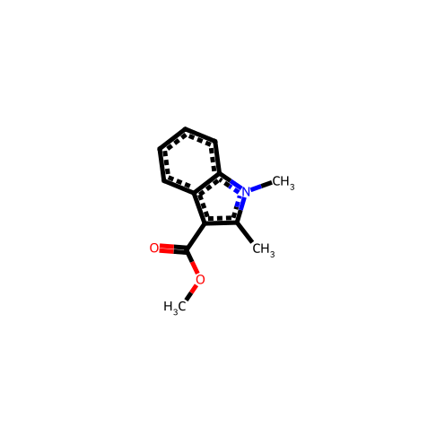 COC(=O)c1c(C)n(C)c2ccccc12